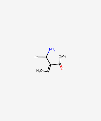 CC=C(C(=O)OC)C(N)CC